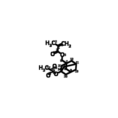 C=C(C)C(=O)OCC12CC3CC(C1)CC(OS(C)(=O)=O)(C3)C2